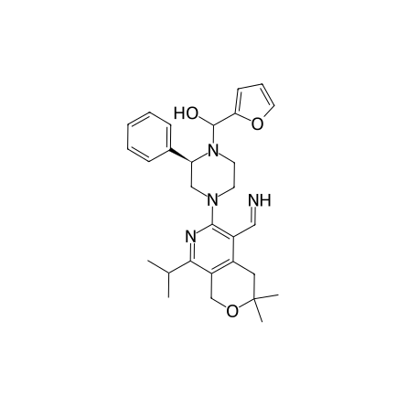 CC(C)c1nc(N2CCN(C(O)c3ccco3)[C@H](c3ccccc3)C2)c(C=N)c2c1COC(C)(C)C2